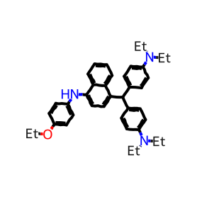 CCOc1ccc(Nc2ccc(C(c3ccc(N(CC)CC)cc3)c3ccc(N(CC)CC)cc3)c3ccccc23)cc1